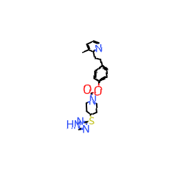 Cc1cccnc1CCc1ccc(OC(=O)N2CCC(Sc3nc[nH]n3)CC2)cc1